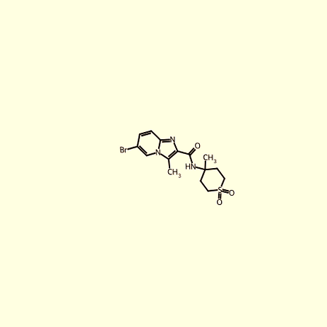 Cc1c(C(=O)NC2(C)CCS(=O)(=O)CC2)nc2ccc(Br)cn12